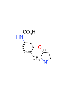 CN1CC[C@@H](Oc2cc(NC(=O)O)ccc2C(F)(F)F)C1